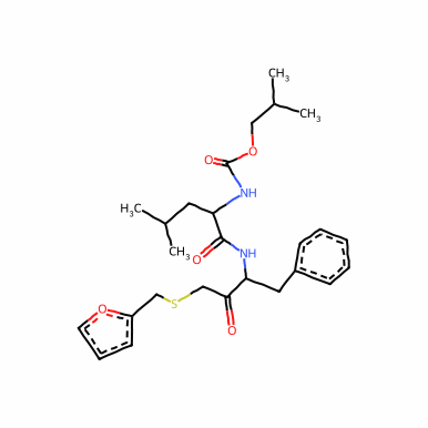 CC(C)COC(=O)NC(CC(C)C)C(=O)NC(Cc1ccccc1)C(=O)CSCc1ccco1